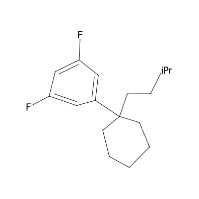 CC(C)CCC1(c2cc(F)cc(F)c2)CCCCC1